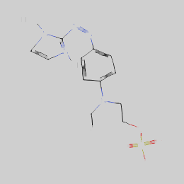 CCN(CCOS(=O)(=O)O)c1ccc(/N=N\c2n(C)cc[n+]2C)cc1